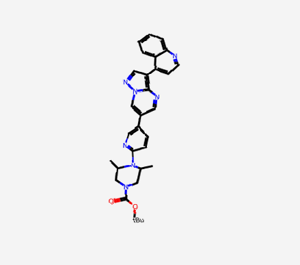 CC1CN(C(=O)OC(C)(C)C)CC(C)N1c1ccc(-c2cnc3c(-c4ccnc5ccccc45)cnn3c2)cn1